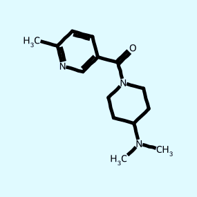 Cc1ccc(C(=O)N2CCC(N(C)C)CC2)cn1